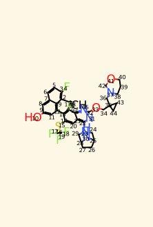 C#Cc1c(F)ccc2cc(O)cc(-c3c(SC(F)(F)F)cc4c(N5CC6CCC(C5)N6)nc(OCC5(CN6CCCOC6)CC5)nc4c3F)c12